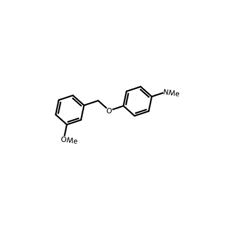 CNc1ccc(OCc2cccc(OC)c2)cc1